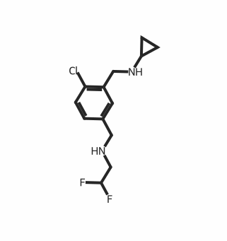 FC(F)CNCc1ccc(Cl)c(CNC2CC2)c1